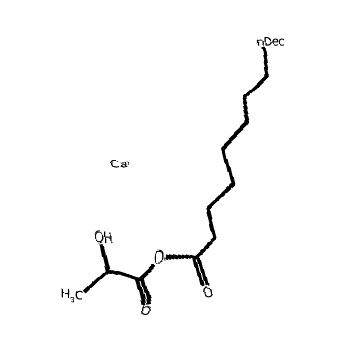 CCCCCCCCCCCCCCCCCC(=O)OC(=O)C(C)O.[Ca]